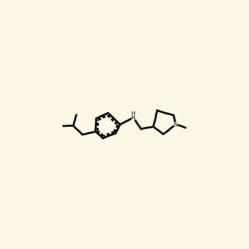 CC(C)Cc1ccc(NCC2CCN(C)C2)cc1